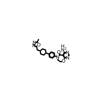 Cc1nnc(CC2CCC(c3ccc(N4CCOc5ncnc(N)c5C4=O)cc3)CC2)o1